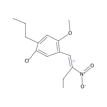 CCCc1cc(OC)c(/C=C(\CC)[N+](=O)[O-])cc1Cl